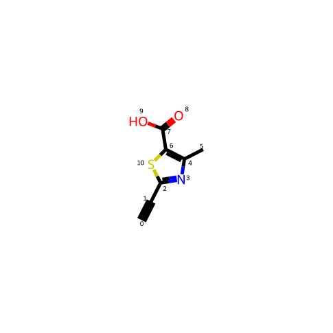 C#Cc1nc(C)c(C(=O)O)s1